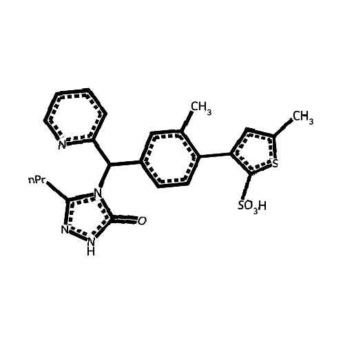 CCCc1n[nH]c(=O)n1C(c1ccc(-c2cc(C)sc2S(=O)(=O)O)c(C)c1)c1ccccn1